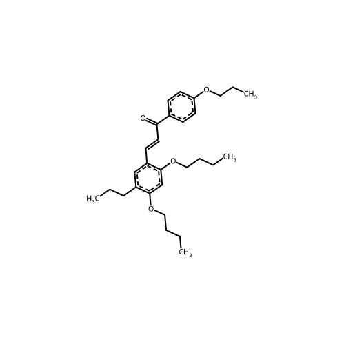 CCCCOc1cc(OCCCC)c(CCC)cc1C=CC(=O)c1ccc(OCCC)cc1